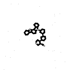 N#Cc1cnccc1-c1cccc(-c2cccc(-n3c4ccccc4c4c5sc6ccccc6c5ccc43)c2)c1